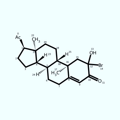 CC(=O)[C@@H]1CC[C@H]2[C@@H]3CCC4=CC(=O)C(O)(Br)C[C@]4(C)[C@H]3CC[C@]12C